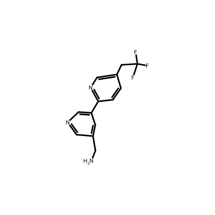 NCc1cncc(-c2ccc(CC(F)(F)F)cn2)c1